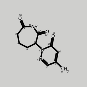 Cc1cnn(C2CCCC(=O)NC2=O)c(=O)c1